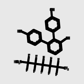 O=S(=O)(O)C(F)(F)C(F)(F)C(F)(F)C(F)(F)C(F)(F)C(F)(F)F.Oc1ccc(-c2cccc(S)c2-c2ccc(O)cc2)cc1